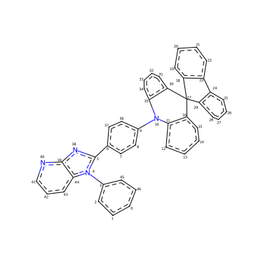 c1ccc(-n2c(-c3ccc(N4c5ccccc5C5(c6ccccc6-c6ccccc65)c5ccccc54)cc3)nc3ncccc32)cc1